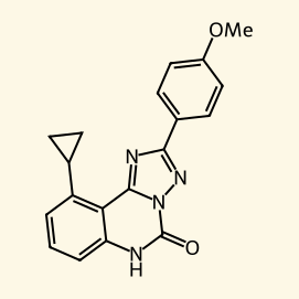 COc1ccc(-c2nc3c4c(C5CC5)cccc4[nH]c(=O)n3n2)cc1